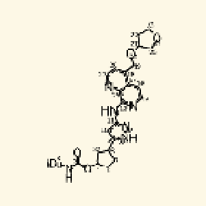 CCC(C)NC(=O)OC1CCC(c2cc(Nc3nccc4c(COC5CCOC5)ccnc34)n[nH]2)C1